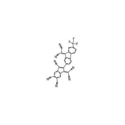 N#CC(C#N)=C1C(c2ccc3c(c2)C(=C(C#N)C#N)c2cc(C(F)(F)F)ccc2-3)=C(C#N)c2cc(C#N)c(C#N)cc21